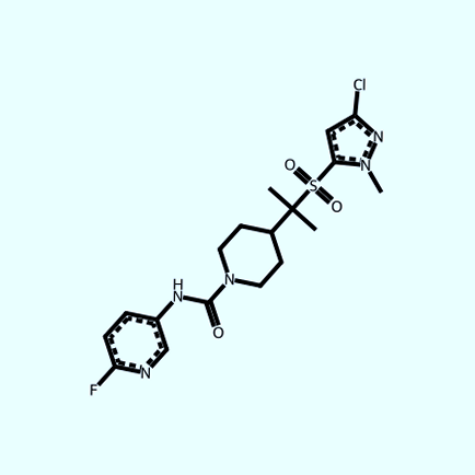 Cn1nc(Cl)cc1S(=O)(=O)C(C)(C)C1CCN(C(=O)Nc2ccc(F)nc2)CC1